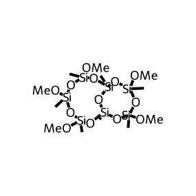 CO[Si]1(C)O[Si](C)(OC)O[Si]2(C)O[Si](C)(OC)O[Si](C)(OC)O[Si](C)(O[Si](C)(OC)O1)O2